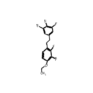 CCOc1ccc(CCc2cc(F)c(F)c(F)c2)c(F)c1F